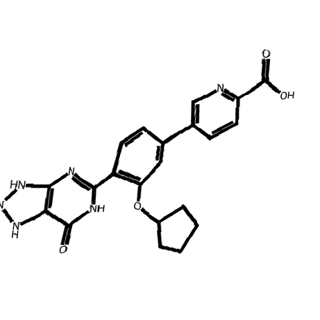 O=C(O)c1ccc(-c2ccc(-c3nc4c(c(=O)[nH]3)NNN4)c(OC3CCCC3)c2)cn1